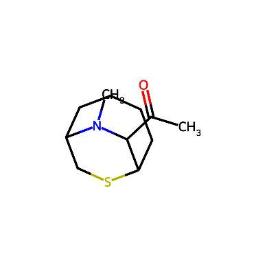 CC(=O)C1C2CCCCC(CS2)N1C